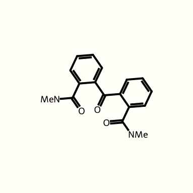 CNC(=O)c1ccccc1C(=O)c1ccccc1C(=O)NC